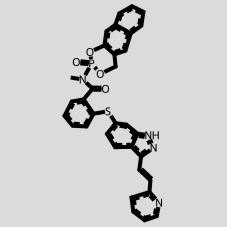 CN(C(=O)c1ccccc1Sc1ccc2c(/C=C/c3ccccn3)n[nH]c2c1)P1(=O)OCc2cc3ccccc3cc2O1